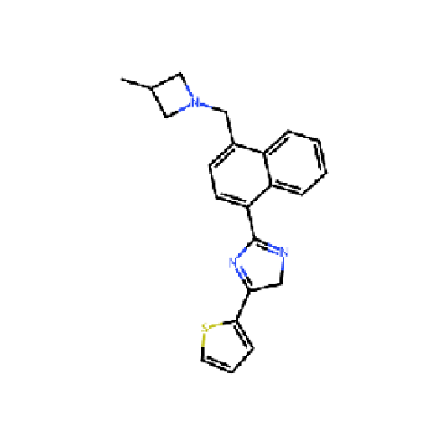 CC1CN(Cc2ccc(C3=NCC(c4cccs4)=N3)c3ccccc23)C1